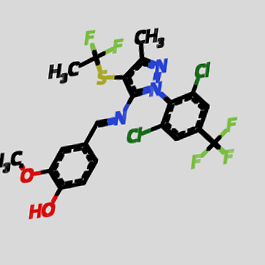 COc1cc(C=Nc2c(SC(C)(F)F)c(C)nn2-c2c(Cl)cc(C(F)(F)F)cc2Cl)ccc1O